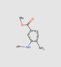 CCCNc1cc(C(=O)OC(C)(C)C)ccc1[N+](=O)[O-]